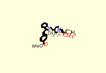 COC(=O)c1ccc(Cc2c(C)n(CCC3CCN(CC(C)(C)O)CC3)c3ccccc23)cc1